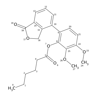 CCCCCC(=O)Oc1c(-c2cccc3c2COC3=O)ccc(OC)c1OC